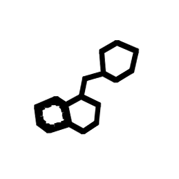 c1ccc2c(c1)CCCC2CC1CCCCC1